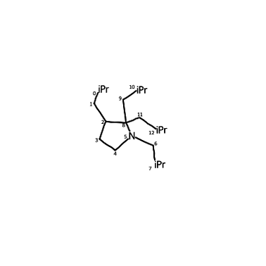 CC(C)CC1CCN(CC(C)C)C1(CC(C)C)CC(C)C